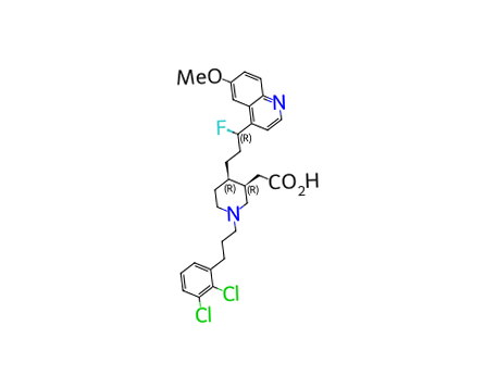 COc1ccc2nccc([C@H](F)CC[C@@H]3CCN(CCCc4cccc(Cl)c4Cl)C[C@@H]3CC(=O)O)c2c1